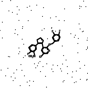 CCOC(=O)c1cc(C2=C(c3cc(Cl)cnc3OCc3ccc(F)c(F)c3)CCC2)ccc1F